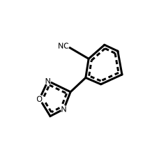 N#Cc1ccccc1-c1ncon1